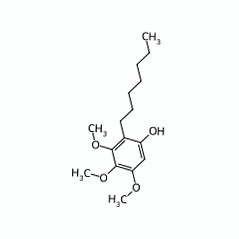 CCCCCCCc1c(O)cc(OC)c(OC)c1OC